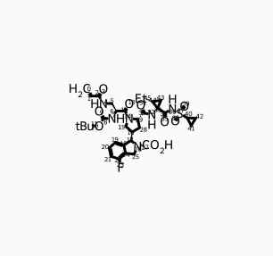 C=CC(=O)NC[C@H](NC(=O)OC(C)(C)C)C(=O)N1C[C@H](C2c3cccc(F)c3CN2C(=O)O)C[C@H]1C(=O)N[C@]1(C(=O)NS(=O)(=O)C2CC2)C[C@H]1CC